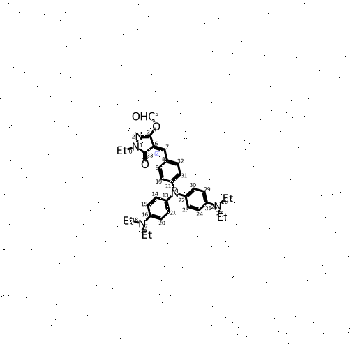 CCN1N=C(OC=O)/C(=C/c2ccc(N(c3ccc(N(CC)CC)cc3)c3ccc(N(CC)CC)cc3)cc2)C1=O